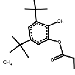 C.CCC(=O)Oc1cc(C(C)(C)C)cc(C(C)(C)C)c1O